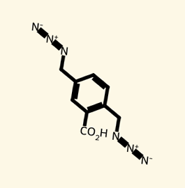 [N-]=[N+]=NCc1ccc(CN=[N+]=[N-])c(C(=O)O)c1